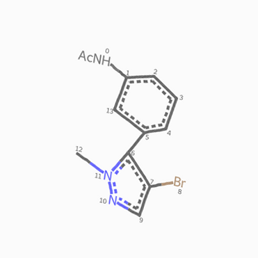 CC(=O)Nc1cccc(-c2c(Br)cnn2C)c1